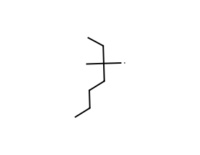 [CH2]C(C)(CC)CCCC